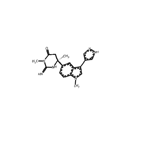 CN1C(=N)N[C@](C)(c2ccc3c(c2)c(-c2cn[nH]c2)cn3C)CC1=O